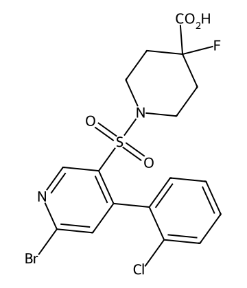 O=C(O)C1(F)CCN(S(=O)(=O)c2cnc(Br)cc2-c2ccccc2Cl)CC1